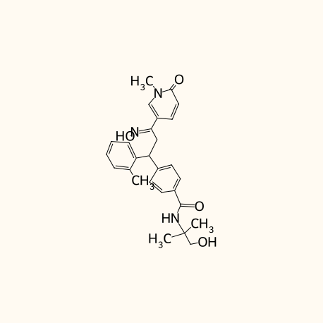 Cc1ccccc1C(C/C(=N\O)c1ccc(=O)n(C)c1)c1ccc(C(=O)NC(C)(C)CO)cc1